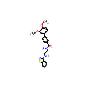 COc1ccc(-c2ccc(C(=O)NCCNc3nsc4ccccc34)cc2)cc1OC